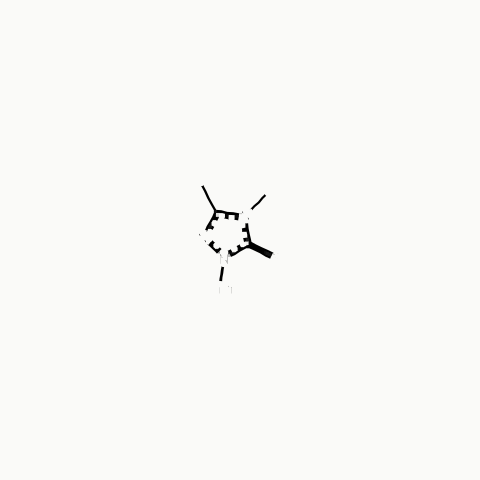 Cc1nn(C(C)C)c(=S)n1C